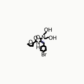 O=C(N/C(=C\c1ccc(Br)cc1)C(=O)N(CCO)CCO)c1ccco1